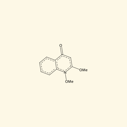 COc1cc(=O)c2ccccc2n1OC